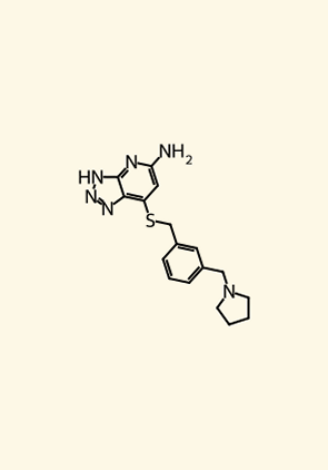 Nc1cc(SCc2cccc(CN3CCCC3)c2)c2nn[nH]c2n1